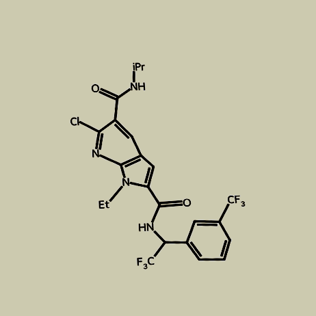 CCn1c(C(=O)NC(c2cccc(C(F)(F)F)c2)C(F)(F)F)cc2cc(C(=O)NC(C)C)c(Cl)nc21